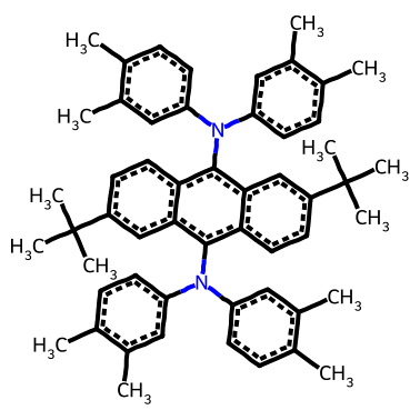 Cc1ccc(N(c2ccc(C)c(C)c2)c2c3ccc(C(C)(C)C)cc3c(N(c3ccc(C)c(C)c3)c3ccc(C)c(C)c3)c3ccc(C(C)(C)C)cc23)cc1C